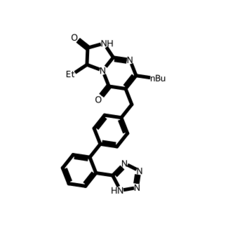 CCCCc1nc2n(c(=O)c1Cc1ccc(-c3ccccc3-c3nnn[nH]3)cc1)C(CC)C(=O)N2